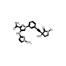 CCN1CCC(O)(C#Cc2cccc(-n3cc(Nc4ccn(C)n4)c(C(N)=O)n3)c2)C1=O